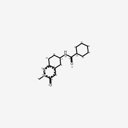 Cn1nc2c(cc1=O)CC(NC(=O)C1CCCCC1)CC2